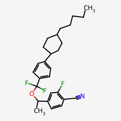 CCCCCC1CCC(c2ccc(C(F)(F)OC(C)c3ccc(C#N)c(F)c3)cc2)CC1